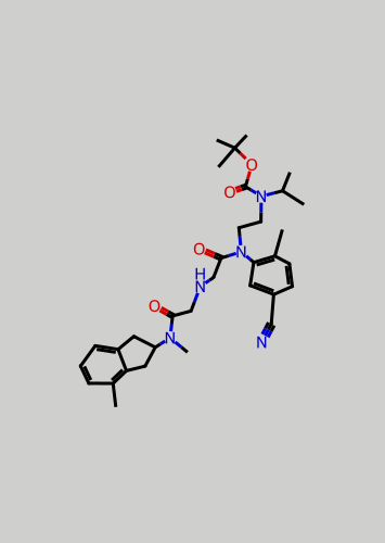 Cc1ccc(C#N)cc1N(CCN(C(=O)OC(C)(C)C)C(C)C)C(=O)CNCC(=O)N(C)C1Cc2cccc(C)c2C1